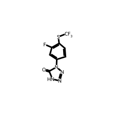 O=c1[nH]nnn1-c1ccc(SC(F)(F)F)c(F)c1